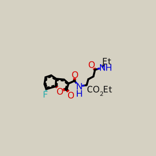 CCNC(=O)CCC(NC(=O)c1cc2cccc(F)c2oc1=O)C(=O)OCC